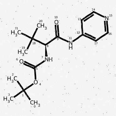 CC(C)(C)OC(=O)N[C@H](C(=O)Nc1ccncc1)C(C)(C)C